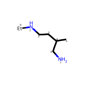 CCNCCC(C)CN